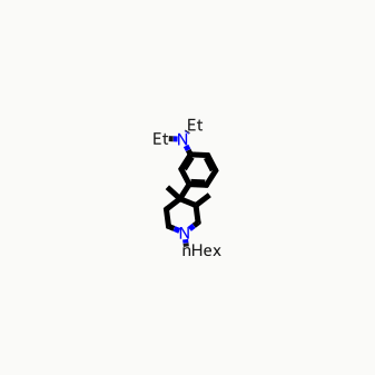 CCCCCCN1CCC(C)(c2cccc(N(CC)CC)c2)C(C)C1